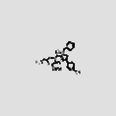 COCC(=O)N(CC(F)CN)[C@@H](c1nc(-c2ccc(C#N)cc2)cn1Cc1ccccc1)C(C)(C)C